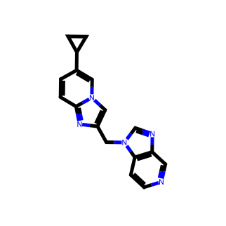 [c]1cc2c(cn1)ncn2Cc1cn2cc(C3CC3)ccc2n1